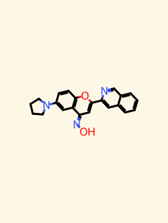 O/N=c1\cc(-c2cc3ccccc3cn2)oc2ccc(N3CCCC3)cc12